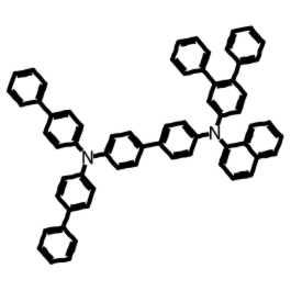 c1ccc(-c2ccc(N(c3ccc(-c4ccccc4)cc3)c3ccc(-c4ccc(N(c5ccc(-c6ccccc6)c(-c6ccccc6)c5)c5cccc6ccccc56)cc4)cc3)cc2)cc1